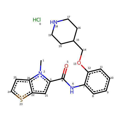 Cl.Cn1c(C(=O)Nc2ccccc2OCC2CCNCC2)cc2sccc21